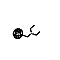 CCP(CC)C[C]12[CH]3[CH]4[CH]5[CH]1[Fe]45321678[CH]2[CH]1[CH]6[CH]7[CH]28